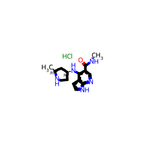 CNC(=O)c1cnc2[nH]ccc2c1N[C@@H]1CCN[C@H](C)C1.Cl